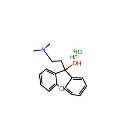 CN(C)CCC(O)(c1ccccc1)c1ccccc1Cl.Cl.F